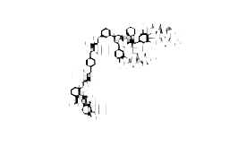 CC[C@H](C(=O)N1CCCC[C@H]1C(=O)OC(CCc1ccc(OC)c(OC)c1)c1cccc(OCC(=O)NCc2ccc(CNC(=O)COc3cccc4c3C(=O)N(C3CCC(=O)NC3=O)C4=O)cc2)c1)c1cc(OC)c(OC)c(OC)c1